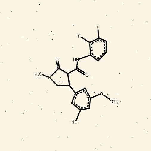 CN1CC(c2cc(C#N)cc(OC(F)(F)F)c2)C(C(=O)Nc2cccc(F)c2F)C1=O